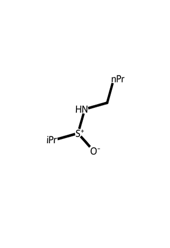 CCCCN[S+]([O-])C(C)C